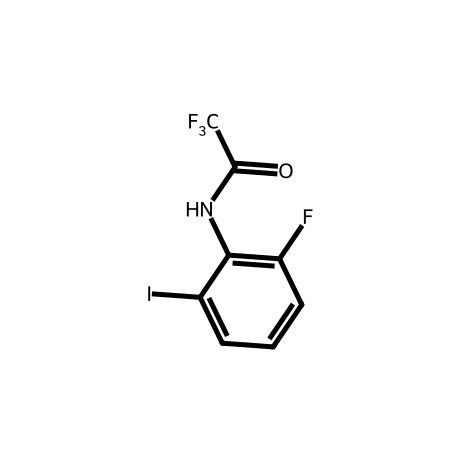 O=C(Nc1c(F)cccc1I)C(F)(F)F